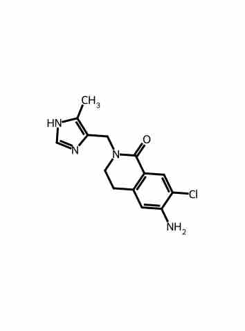 Cc1[nH]cnc1CN1CCc2cc(N)c(Cl)cc2C1=O